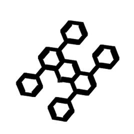 c1ccc(-c2ccc(-c3ccccc3)c3nc4c(-c5ccccc5)ccc(-c5ccccc5)c4cc23)cc1